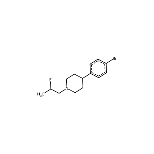 CC(F)CN1CCC(c2ccc(Br)cc2)CC1